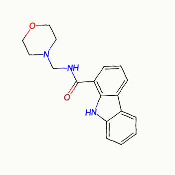 O=C(NCN1CCOCC1)c1cccc2c1[nH]c1ccccc12